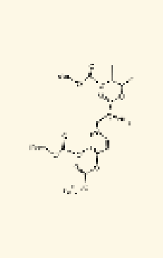 CCCCOC(=O)OC(C)C(C)OC(=O)[C@@H](N)Cc1ccc(OC(=O)O[C@@H](C)CCC)c(OC(=O)OC(C)CCC)c1